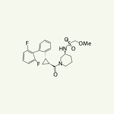 COCS(=O)(=O)N[C@H]1CCCN(C(=O)[C@H]2C[C@@H]2c2ccccc2-c2c(F)cccc2F)C1